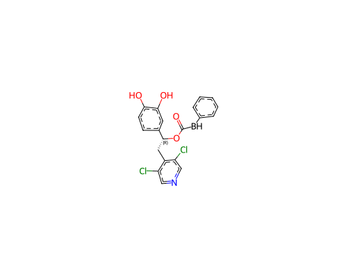 O=C(Bc1ccccc1)O[C@H](Cc1c(Cl)cncc1Cl)c1ccc(O)c(O)c1